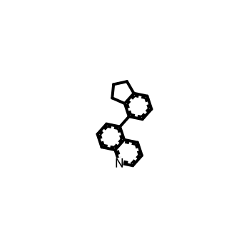 c1cc2c(c(-c3cccc4ncccc34)c1)CCC2